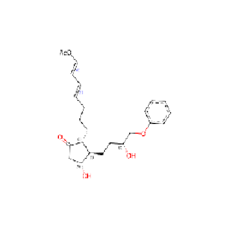 CC(=O)O/C=C/C=C/CCC[C@H]1C(=O)C[C@@H](O)[C@@H]1CC[C@@H](O)COc1ccccc1